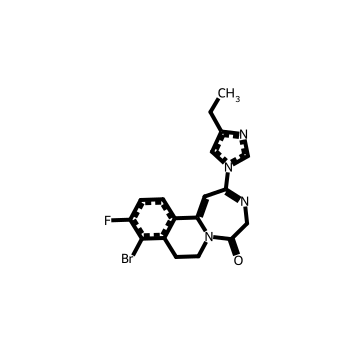 CCc1cn(C2=NCC(=O)N3CCc4c(ccc(F)c4Br)C3=C2)cn1